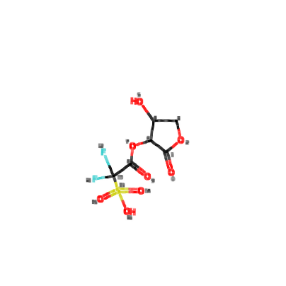 O=C1OCC(O)C1OC(=O)C(F)(F)S(=O)(=O)O